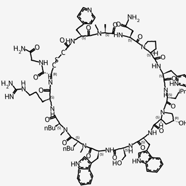 CCCC[C@H]1C(=O)N(C)[C@@H](CCCC)C(=O)N[C@@H](CCCNC(=N)N)C(=O)N[C@H](C(=O)NCC(N)=O)CSCC(=O)N[C@@H](Cc2ccncc2)C(=O)N(C)[C@@H](C)C(=O)N[C@@H](CC(N)=O)C(=O)N2CCC[C@H]2C(=O)N[C@@H](Cc2cnc[nH]2)C(=O)N[C@@H](CC(C)C)C(=O)N2C[C@H](O)C[C@H]2C(=O)N[C@@H](Cc2c[nH]c3ccccc23)C(=O)N[C@@H](CO)C(=O)N[C@@H](Cc2c[nH]c3ccccc23)C(=O)N1C